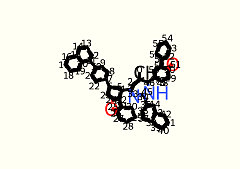 CC1=C=C(c2cc(-c3ccc(-c4cccc5ccccc45)cc3)cc3oc4ccccc4c23)N=C(c2ccc3ccccc3c2)NC1c1ccc2oc3ccccc3c2c1